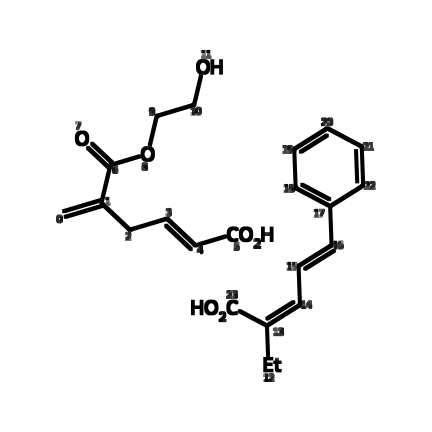 C=C(CC=CC(=O)O)C(=O)OCCO.CCC(=CC=Cc1ccccc1)C(=O)O